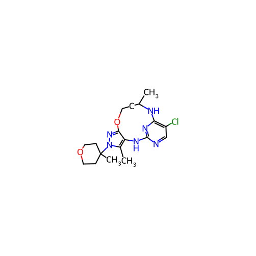 Cc1c2c(nn1C1(C)CCOCC1)OCCC(C)Nc1nc(ncc1Cl)N2